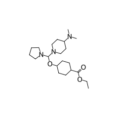 CCOC(=O)C1CCC(OC(N2CCCC2)N2CCC(N(C)C)CC2)CC1